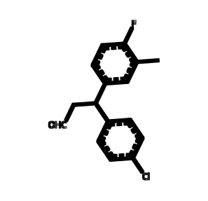 Cc1cc(C(CC=O)c2ccc(Cl)cc2)ccc1F